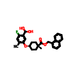 C[C@]1(C(=O)OCc2cccc3ccccc23)CC[C@@H](Oc2cc(C(O)O)c(F)cc2C#N)CC1